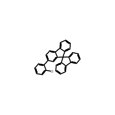 Clc1ccccc1-c1ccc2c(c1)C1(c3ccccc3-c3ccccc31)c1ccccc1-2